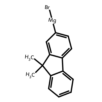 CC1(C)c2ccccc2-c2cc[c]([Mg][Br])cc21